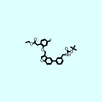 CCOC(=O)Cc1ccc(F)cc1OCc1coc2ccc(-c3cccc(CNC(=O)OC(C)(C)C)c3)cc12